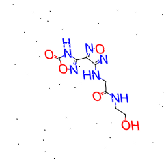 O=C(CNc1nonc1-c1noc(=O)[nH]1)NCCO